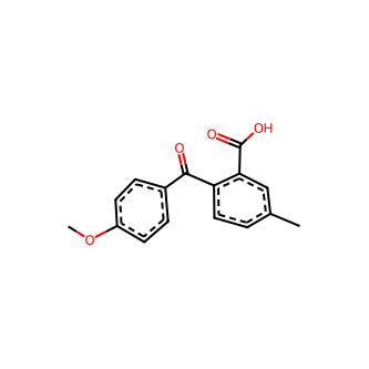 COc1ccc(C(=O)c2ccc(C)cc2C(=O)O)cc1